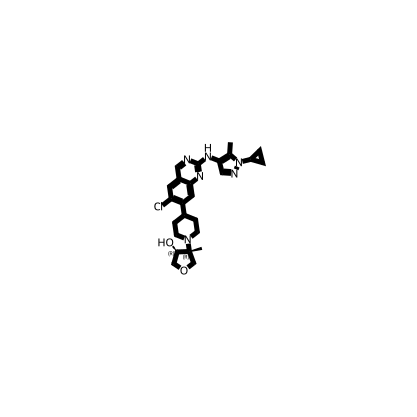 Cc1c(Nc2ncc3cc(Cl)c(C4CCN([C@]5(C)COC[C@@H]5O)CC4)cc3n2)cnn1C1CC1